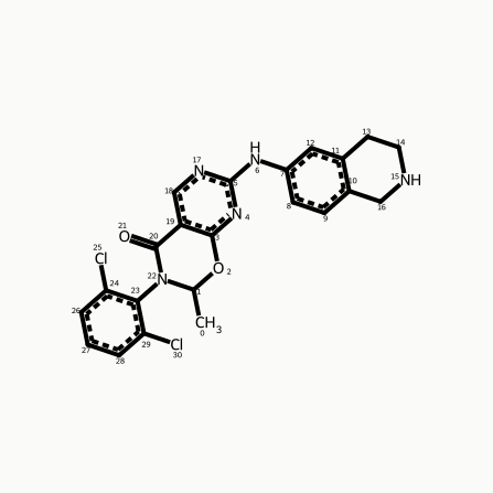 CC1Oc2nc(Nc3ccc4c(c3)CCNC4)ncc2C(=O)N1c1c(Cl)cccc1Cl